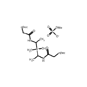 CCCCCCCCCCCC(=O)NC(C)[N+](C)(C)C(C)NC(=O)CCCCCCCCCCC.COS(=O)(=O)[O-]